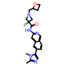 Cc1ncc(-c2ccc3cnc(NC(=O)C4(F)CN(CC5CCO5)C4)cc3c2)n1C